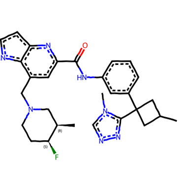 CC1CC(c2cccc(NC(=O)c3cc(CN4CC[C@H](F)[C@H](C)C4)c4[nH]ccc4n3)c2)(c2nncn2C)C1